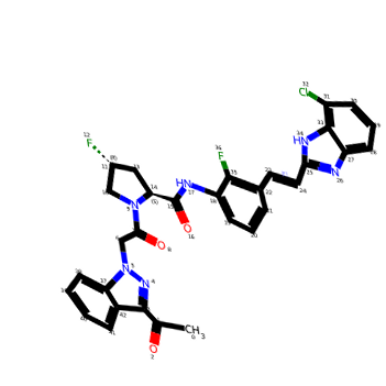 CC(=O)c1nn(CC(=O)N2C[C@H](F)C[C@H]2C(=O)Nc2cccc(/C=C/c3nc4cccc(Cl)c4[nH]3)c2F)c2ccccc12